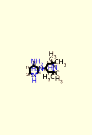 CC1(C)CC(N)CC(C)(C)N1.NC1CCNCC1